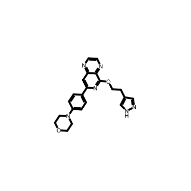 c1cnc2c(OCCc3cn[nH]c3)nc(-c3ccc(N4CCOCC4)cc3)cc2n1